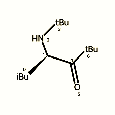 CCC(C)[C@@H](NC(C)(C)C)C(=O)C(C)(C)C